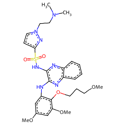 COCCCOc1c(Nc2nc3ccccc3nc2NS(=O)(=O)c2ccn(CCN(C)C)n2)cc(OC)cc1OC